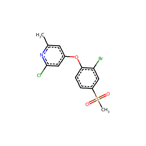 Cc1cc(Oc2ccc(S(C)(=O)=O)cc2Br)cc(Cl)n1